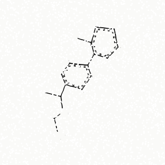 Cc1ccccc1-c1ccc(C(C)SCC(=O)O)cc1